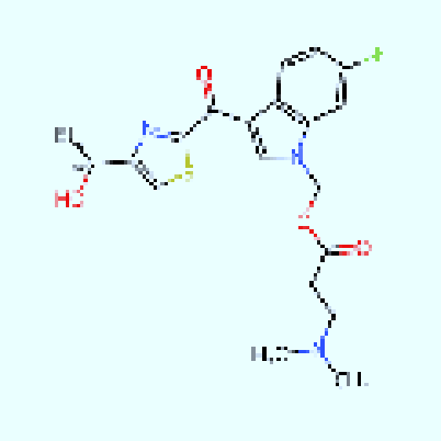 CC[C@H](O)c1csc(C(=O)c2cn(COC(=O)CCN(C)C)c3cc(F)ccc23)n1